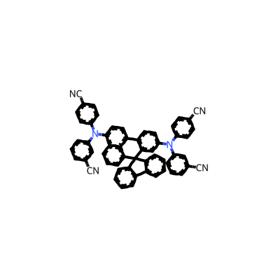 N#Cc1ccc(N(c2cccc(C#N)c2)c2ccc3c(c2)C2(c4ccccc4-c4ccccc42)c2cccc4c(N(c5ccc(C#N)cc5)c5cccc(C#N)c5)ccc-3c24)cc1